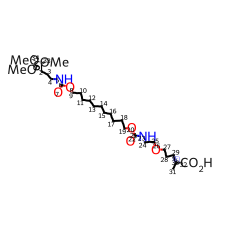 CO[Si](CCCNC(=O)OCCCCCCCCCCCOC(=O)NCCOCC/C=C(\C)C(=O)O)(OC)OC